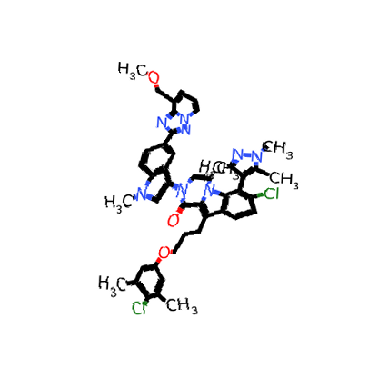 COCc1cccn2nc(-c3ccc4c(c3)c(N3C[C@@H](C)n5c(c(CCCOc6cc(C)c(Cl)c(C)c6)c6ccc(Cl)c(-c7c(C)nn(C)c7C)c65)C3=O)cn4C)nc12